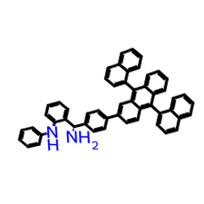 N[C@@H](c1ccc(-c2ccc3c(-c4cccc5ccccc45)c4ccccc4c(-c4cccc5ccccc45)c3c2)cc1)c1ccccc1Nc1ccccc1